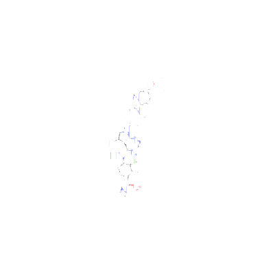 CC(C)Oc1ccc(N2CCC(n3cc(F)c4c(Nc5ccc(C(=O)N(C)C)cc5F)ncnc43)CC2)nc1